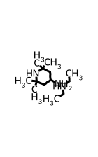 CC1(C)CC(N)CC(C)(C)N1.CCNCC